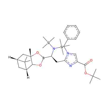 CC(C)(C)OC(=O)c1cn(Cc2ccccc2)c(C[C@@H](B2OC3[C@@H]4C[C@H](C[C@]3(C)O2)C4(C)C)N([Si](C)(C)C)[Si](C)(C)C)n1